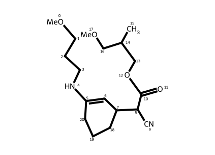 COCCCNC1=CC(C(C#N)C(=O)OCC(C)COC)CCC1